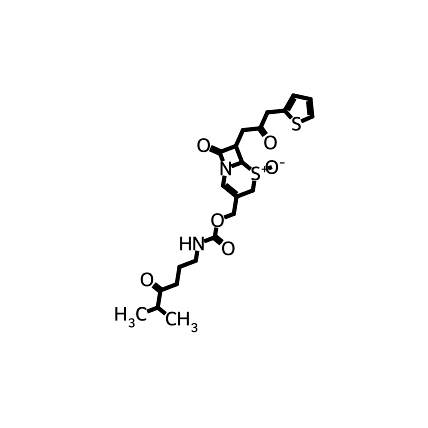 CC(C)C(=O)CCCNC(=O)OCC1=CN2C(=O)C(CC(=O)Cc3cccs3)C2[S+]([O-])C1